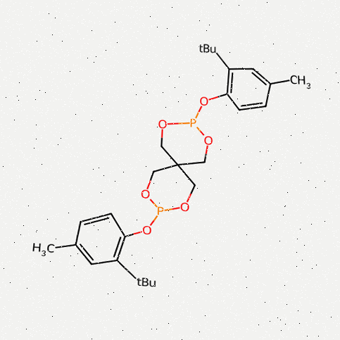 Cc1ccc(OP2OCC3(CO2)COP(Oc2ccc(C)cc2C(C)(C)C)OC3)c(C(C)(C)C)c1